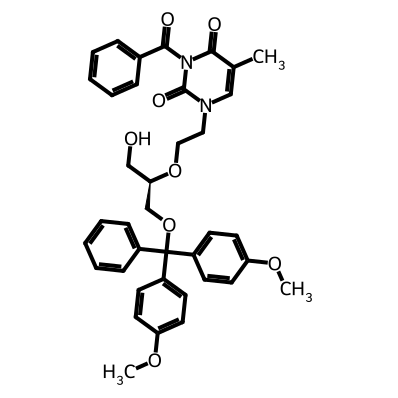 COc1ccc(C(OC[C@@H](CO)OCCn2cc(C)c(=O)n(C(=O)c3ccccc3)c2=O)(c2ccccc2)c2ccc(OC)cc2)cc1